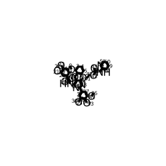 COc1ccccc1Oc1c(NS(=O)(=O)c2ccc3c(c2)OCO3)nc(-c2cc(OC)c(OC)c(OC)c2)nc1OCCOC(=O)Nc1ccccn1